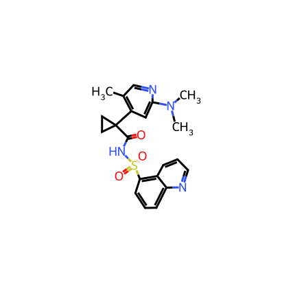 Cc1cnc(N(C)C)cc1C1(C(=O)NS(=O)(=O)c2cccc3ncccc23)CC1